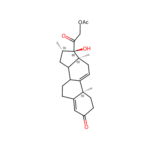 CC(=O)OCC(=O)[C@@]1(O)[C@@H](C)CC2C3CCC4=CC(=O)CC[C@]4(C)C3=CC[C@@]21C